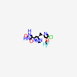 O=c1[nH]cc(-c2cc([C@H]3C[C@@H]3c3cc(OCC(F)(F)F)c(Cl)cn3)c3nccn3n2)c(=O)[nH]1